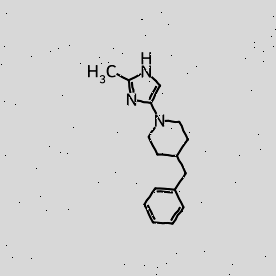 Cc1nc(N2CCC(Cc3ccccc3)CC2)c[nH]1